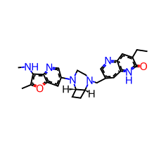 CCc1cc2ncc(CN3CCN(c4cnc5c(NC)c(C)oc5c4)[C@H]4CC[C@H]43)cc2[nH]c1=O